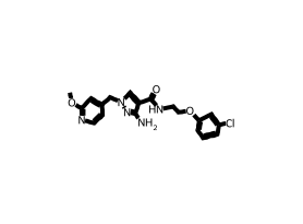 COc1cc(Cn2cc(C(=O)NCCOc3cccc(Cl)c3)c(N)n2)ccn1